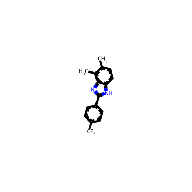 Cc1ccc2[nH]c(-c3ccc(C(F)(F)F)cc3)nc2c1C